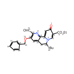 CCOC(=O)c1cn2c(cc1=O)-c1nc(C=O)c(OCc3ccccc3)cc1CC2C(C)(C)C